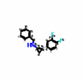 Fc1ccc([C@@H]2C[C@H]2NCc2ccccc2)cc1F